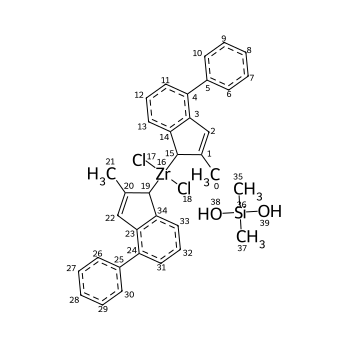 CC1=Cc2c(-c3ccccc3)cccc2[CH]1[Zr]([Cl])([Cl])[CH]1C(C)=Cc2c(-c3ccccc3)cccc21.C[Si](C)(O)O